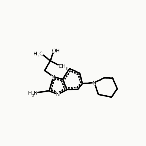 CC(C)(O)Cn1c(N)nc2cc(N3CCCCC3)ccc21